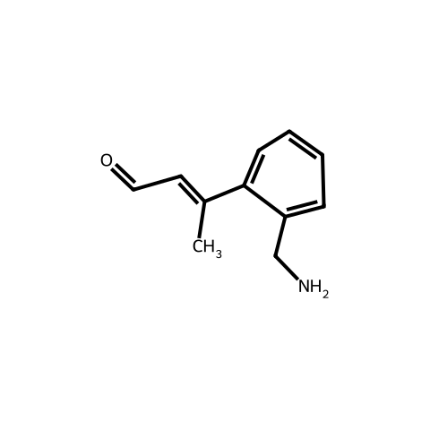 C/C(=C\C=O)c1ccccc1CN